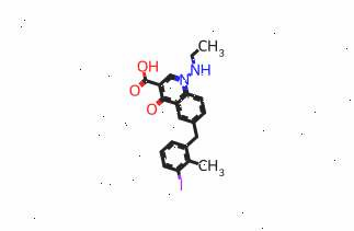 CCNn1cc(C(=O)O)c(=O)c2cc(Cc3cccc(I)c3C)ccc21